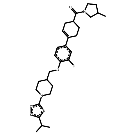 CC1CCN(C(=O)C2CC=C(c3ccc(OCC4CCN(c5nc(C(C)C)no5)CC4)c(F)c3)CC2)C1